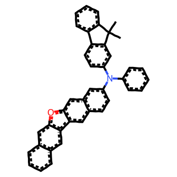 CC1(C)c2ccccc2-c2ccc(N(c3ccccc3)c3ccc4cc5c(cc4c3)oc3cc4ccccc4cc35)cc21